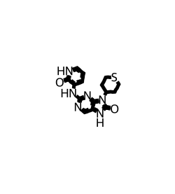 O=c1[nH]cccc1Nc1ncc2[nH]c(=O)n(C3CCSCC3)c2n1